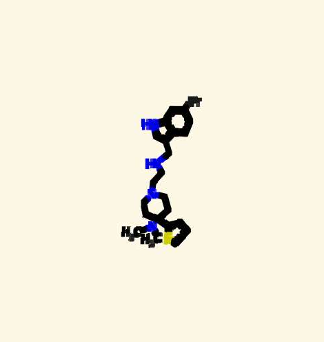 CC(C)c1ccc2c(CNCCN3CCC(c4cccs4)(N(C)C)CC3)c[nH]c2c1